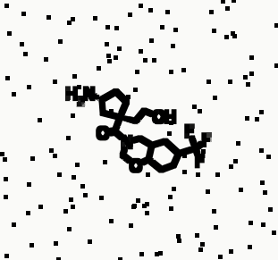 N[C@@H]1CC[C@](CCO)(C(=O)N2COC3CCC(C(F)(F)F)CC3C2)C1